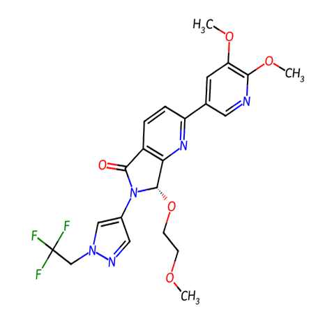 COCCO[C@H]1c2nc(-c3cnc(OC)c(OC)c3)ccc2C(=O)N1c1cnn(CC(F)(F)F)c1